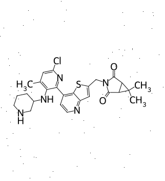 Cc1cc(Cl)nc(-c2ccnc3cc(CN4C(=O)C5C(C4=O)C5(C)C)sc23)c1NC1CCCNC1